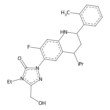 CCn1c(CO)nn(-c2cc3c(cc2F)NC(c2ccccc2C)CC3C(C)C)c1=O